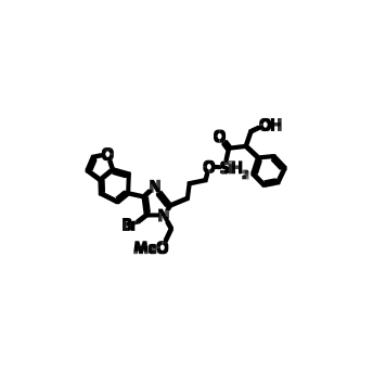 COCn1c(CCCO[SiH2]C(=O)C(CO)c2ccccc2)nc(-c2ccc3ccoc3c2)c1Br